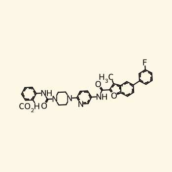 Cc1c(C(=O)Nc2ccc(N3CCN(C(=O)Nc4ccccc4C(=O)O)CC3)nc2)oc2ccc(-c3cccc(F)c3)cc12